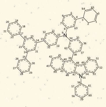 C1=CCC(c2cccc(N(c3ccc(-c4cc(-c5ccccc5)cc(-c5ccccc5)c4)cc3)c3cccc(-c4c5ccccc5cc5c4c4ccccc4n5-c4ccccc4)c3)c2)C=C1